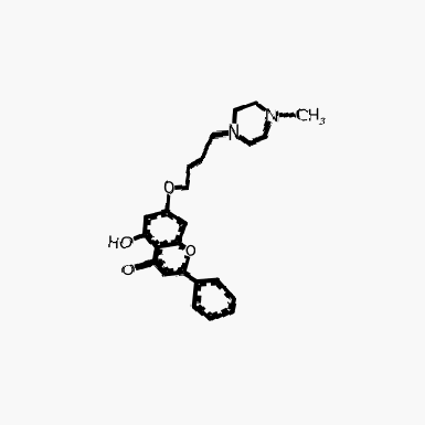 CN1CCN(CCCCOc2cc(O)c3c(=O)cc(-c4ccccc4)oc3c2)CC1